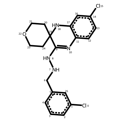 Clc1cccc(CNNC2=Nc3ccc(Cl)cc3NC23CCOCC3)c1